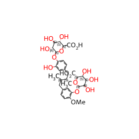 COc1ccc(C[C@@H](C)[C@@H](C)Cc2ccc(O[C@@H]3O[C@H](C(=O)O)[C@@H](O)[C@H](O)[C@H]3O)c(O)c2)cc1O[C@@H]1O[C@H](C(=O)O)[C@@H](O)[C@H](O)[C@H]1O